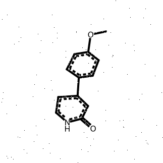 COc1ccc(-c2cc[nH]c(=O)c2)cc1